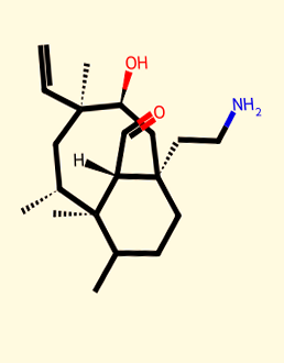 C=C[C@]1(C)C[C@@H](C)[C@]2(C)C(C)CC[C@](CCN)(C[C@@H]1O)[C@H]2C=O